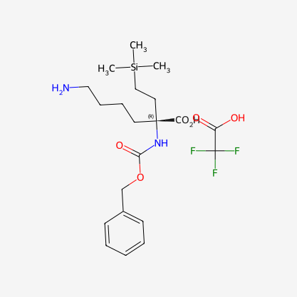 C[Si](C)(C)CC[C@@](CCCCN)(NC(=O)OCc1ccccc1)C(=O)O.O=C(O)C(F)(F)F